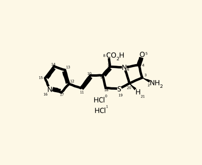 Cl.Cl.N[C@@H]1C(=O)N2C(C(=O)O)=C(/C=C/c3cccnc3)CS[C@@H]12